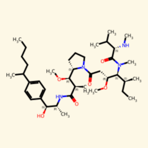 CCCCC(C)c1ccc([C@H](O)[C@@H](C)NC(=O)[C@H](C)[C@@H](OC)[C@@H]2CCCN2C(=O)C[C@@H](OC)[C@H]([C@@H](C)CC)N(C)C(=O)[C@@H](NC)C(C)C)cc1